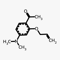 C=CCOc1cc(N(C)C)ccc1C(C)=O